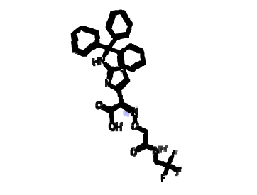 O=C(CO/N=C(\C(=O)O)c1csc(NC(c2ccccc2)(c2ccccc2)c2ccccc2)n1)NCC(F)(F)F